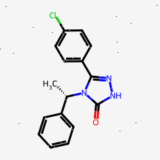 C[C@@H](c1ccccc1)n1c(-c2ccc(Cl)cc2)n[nH]c1=O